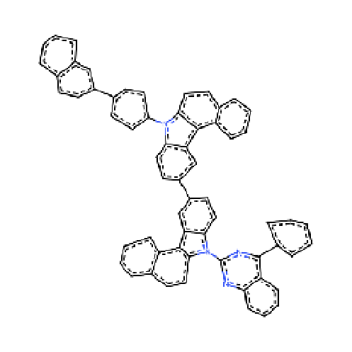 c1ccc(-c2nc(-n3c4ccc(-c5ccc6c(c5)c5c7ccccc7ccc5n6-c5ccc(-c6ccc7ccccc7c6)cc5)cc4c4c5ccccc5ccc43)nc3ccccc23)cc1